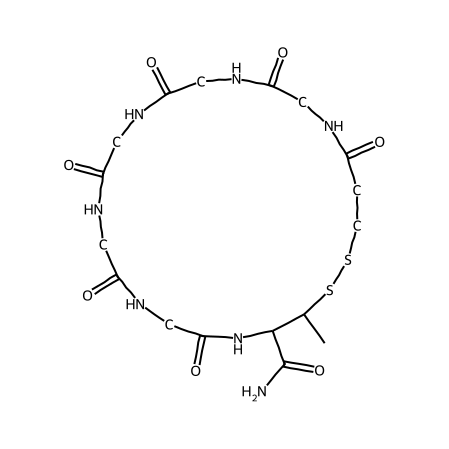 CC1SSCCC(=O)NCC(=O)NCC(=O)NCC(=O)NCC(=O)NCC(=O)NC1C(N)=O